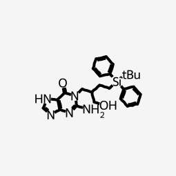 CC(C)(C)[Si](CCC(CO)Cn1c(N)nc2nc[nH]c2c1=O)(c1ccccc1)c1ccccc1